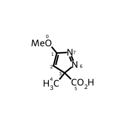 COC1=CC(C)(C(=O)O)N=N1